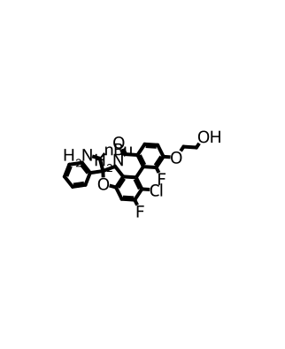 CCCC[C@H](N)C1(c2ccccc2)Cc2c(cc(F)c(Cl)c2-c2c(C(N)=O)ccc(OCCO)c2F)O1